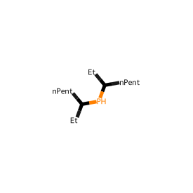 CCCCCC(CC)PC(CC)CCCCC